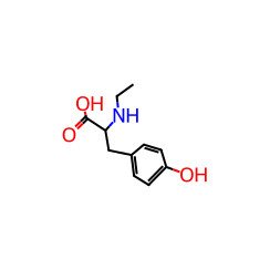 CCNC(Cc1ccc(O)cc1)C(=O)O